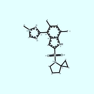 Cc1cc(F)c2[nH]c(S(=O)(=O)N3CCCC34CC4)cc2c1-c1ncn(C)n1